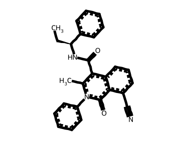 CC[C@H](NC(=O)c1c(C)n(-c2ccccc2)c(=O)c2c(C#N)cccc12)c1ccccc1